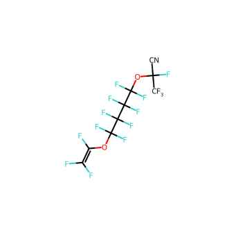 N#CC(F)(OC(F)(F)C(F)(F)C(F)(F)C(F)(F)OC(F)=C(F)F)C(F)(F)F